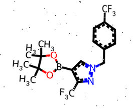 CC1(C)OB(c2cn(Cc3ccc(C(F)(F)F)cc3)nc2C(F)(F)F)OC1(C)C